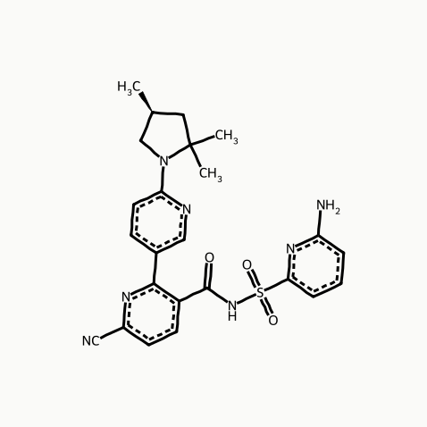 C[C@@H]1CN(c2ccc(-c3nc(C#N)ccc3C(=O)NS(=O)(=O)c3cccc(N)n3)cn2)C(C)(C)C1